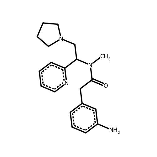 CN(C(=O)Cc1cccc(N)c1)C(CN1CCCC1)c1ccccn1